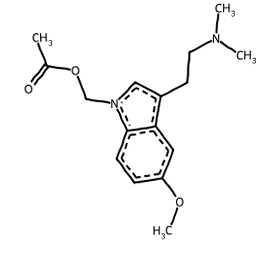 COc1ccc2c(c1)c(CCN(C)C)cn2COC(C)=O